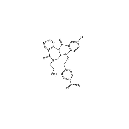 N=C(N)c1ccc(CON2c3ccc(Cl)cc3C(=O)N3c4ccccc4C(=O)N(CCC(=O)O)CC23)cc1